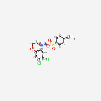 Cc1ccc(S(=O)(=O)O/N=C2/CCOc3cc(Cl)c(Cl)cc32)cc1